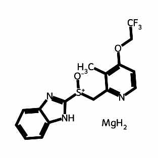 Cc1c(OCC(F)(F)F)ccnc1C[S+]([O-])c1nc2ccccc2[nH]1.[MgH2]